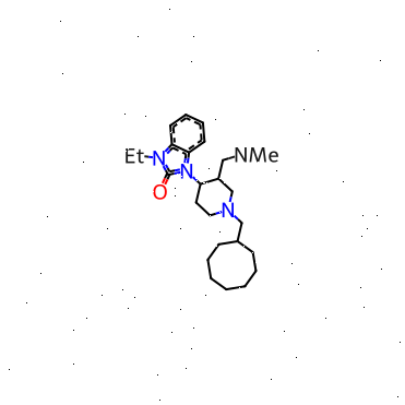 CCn1c(=O)n(C2CCN(CC3CCCCCCC3)CC2CNC)c2ccccc21